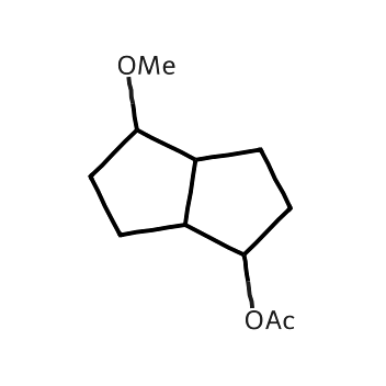 COC1CCC2C(OC(C)=O)CCC12